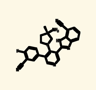 C[C@]1(N)CCN(c2c(-c3ccc(F)c(C#N)c3)cncc2-c2nc3cccc(C#N)c3[nH]2)C1